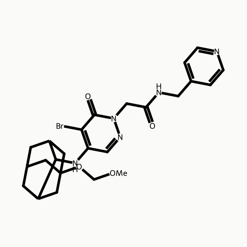 COCOC12CC3CC(C1)C(Nc1cnn(CC(=O)NCc4ccncc4)c(=O)c1Br)C(C3)C2